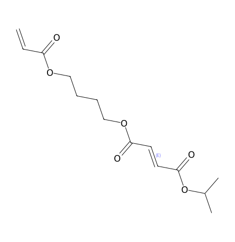 C=CC(=O)OCCCCOC(=O)/C=C/C(=O)OC(C)C